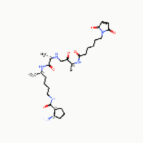 CC(C)[C@H](NC(=O)CCCCCN1C(=O)C=CC1=O)C(=O)CN[C@@H](C)C(=O)N[C@@H](CCCCNC(=O)[C@H]1CCC[C@H]1N)C(=O)O